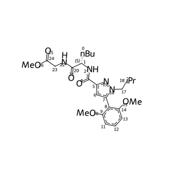 CCCC[C@H](NC(=O)c1cc(-c2c(OC)cccc2OC)n(CC(C)C)n1)C(=O)NCC(=O)OC